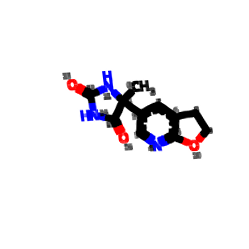 CC1(c2cnc3c(c2)CCO3)NC(=O)NC1=O